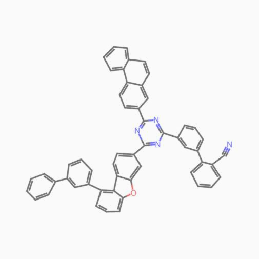 N#Cc1ccccc1-c1cccc(-c2nc(-c3ccc4c(ccc5ccccc54)c3)nc(-c3ccc4c(c3)oc3cccc(-c5cccc(-c6ccccc6)c5)c34)n2)c1